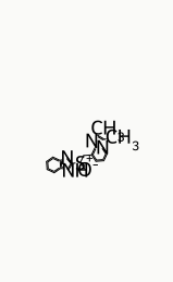 Cc1nc2c(C[S+]([O-])c3nc4ccccc4[nH]3)cccn2c1C